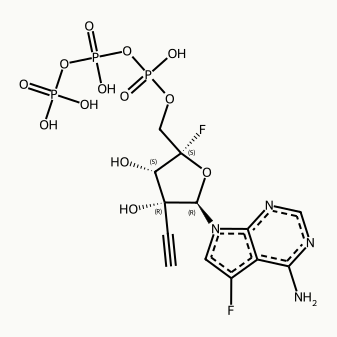 C#C[C@]1(O)[C@H](n2cc(F)c3c(N)ncnc32)O[C@](F)(COP(=O)(O)OP(=O)(O)OP(=O)(O)O)[C@H]1O